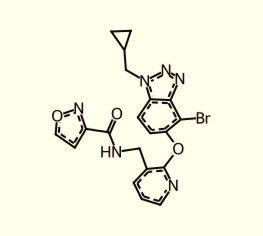 O=C(NCc1cccnc1Oc1ccc2c(nnn2CC2CC2)c1Br)c1ccon1